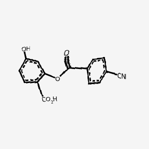 N#Cc1ccc(C(=O)Oc2cc(O)ccc2C(=O)O)cc1